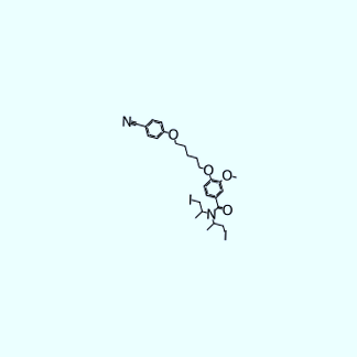 COc1cc(C(=O)N(C(C)CI)C(C)CI)ccc1OCCCCCOc1ccc(C#N)cc1